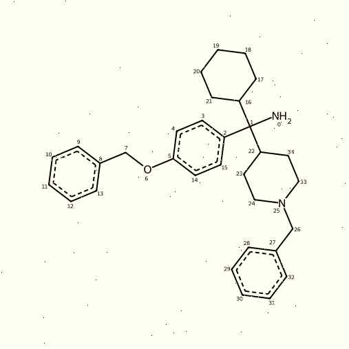 NC(c1ccc(OCc2ccccc2)cc1)(C1CCCCC1)C1CCN(Cc2ccccc2)CC1